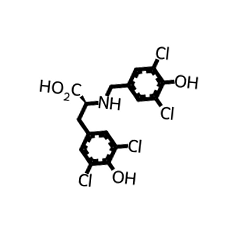 O=C(O)[C@H](Cc1cc(Cl)c(O)c(Cl)c1)NCc1cc(Cl)c(O)c(Cl)c1